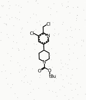 CC(C)(C)OC(=O)N1CCC(c2cnc(CCl)c(Cl)c2)CC1